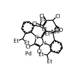 CCC(CC)c1cccc(C(CC)CC)c1N1C(Cl)=C(Cl)N(c2c(C(CC)CC)cccc2C(CC)CC)C1=C1NC(=O)C(Cl)C(Cl)=C1Cl.[Pd]